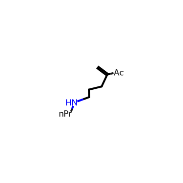 C=C(CCCNCCC)C(C)=O